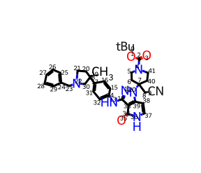 CC(C)(C)OC(=O)N1CCC(CC#N)(n2nc(Nc3ccc(C4(C)CCN(Cc5ccccc5)C4)cc3)c3c(=O)[nH]ccc32)CC1